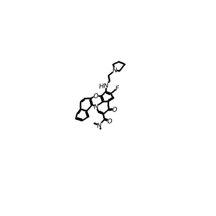 CN(C)C(=O)c1cn2c3c(c(NCCN4CCCC4)c(F)cc3c1=O)Oc1ccc3ccccc3c1-2